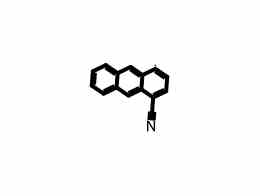 N#Cc1cc[c]c2cc3ccccc3cc12